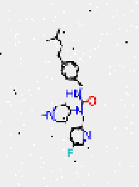 CC(C)CCc1ccc(CNC(=O)N(Cc2ccc(F)cn2)C2CCN(C)CC2)cc1